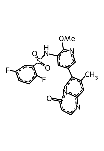 COc1ncc(-c2cn3c(=O)ccnc3cc2C)cc1NS(=O)(=O)c1cc(F)ccc1F